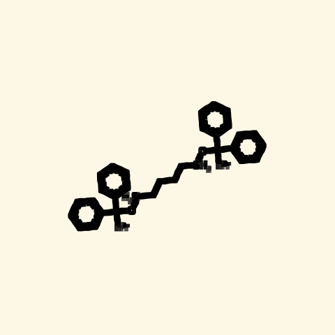 CCCC(O[SiH2]CCCC[SiH2]OC(CCC)(c1ccccc1)c1ccccc1)(c1ccccc1)c1ccccc1